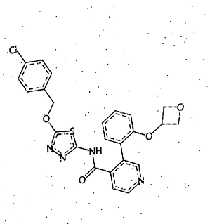 O=C(Nc1nnc(OCc2ccc(Cl)cc2)s1)c1ccncc1-c1ccccc1OC1COC1